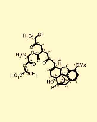 COc1ccc2c3c1O[C@@H]1C(OC(=O)C[C@H](CC(=O)[C@H](C)O)C(=O)O[C@@H](C)C(=O)O[C@@H](C)C(=O)O)=CC[C@]4(O)[C@@H](CCC[C@@]314)C2